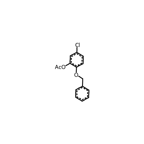 CC(=O)Oc1cc(Cl)ccc1OCc1ccccc1